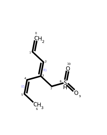 C=C/C=C(\C=C/C)C[SH](=O)=O